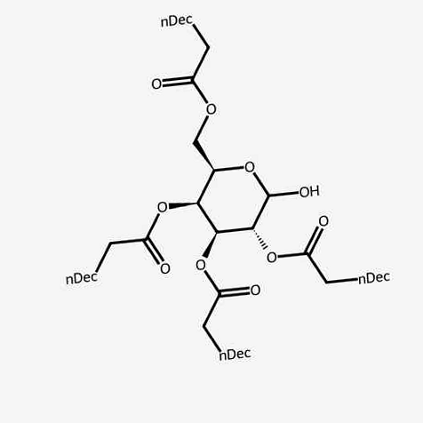 CCCCCCCCCCCC(=O)OC[C@H]1OC(O)[C@H](OC(=O)CCCCCCCCCCC)[C@@H](OC(=O)CCCCCCCCCCC)[C@H]1OC(=O)CCCCCCCCCCC